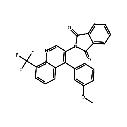 COc1cccc(-c2c(N3C(=O)c4ccccc4C3=O)cnc3c(C(F)(F)F)cccc23)c1